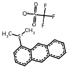 C[S+](C)c1cccc2cc3ccccc3cc12.O=S(=O)([O-])C(F)(F)F